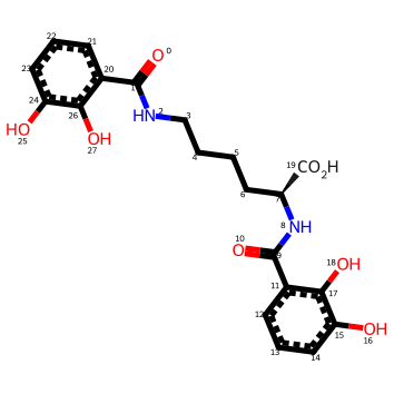 O=C(NCCCC[C@H](NC(=O)c1cccc(O)c1O)C(=O)O)c1cccc(O)c1O